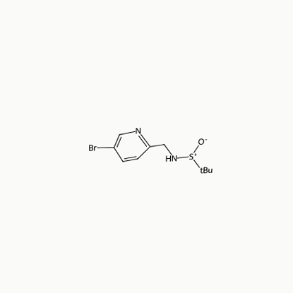 CC(C)(C)[S+]([O-])NCc1ccc(Br)cn1